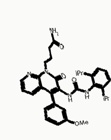 COc1cccc(-c2c(NC(=O)Nc3c(C(C)C)cccc3C(C)C)c(=O)n(CCCC(N)=O)c3ncccc23)c1